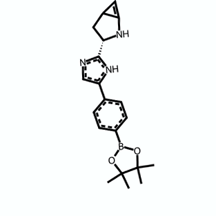 CC1(C)OB(c2ccc(-c3cnc([C@@H]4CC5C=C5N4)[nH]3)cc2)OC1(C)C